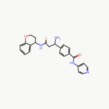 NC(CC(=S)NC1CCOc2ccccc21)c1ccc(C(=O)Nc2ccncc2)cc1